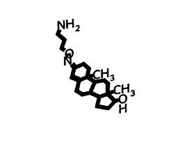 CC12CCC(=NOCCCN)C=C1CCC1C2CCC2(C)C(O)CCC12